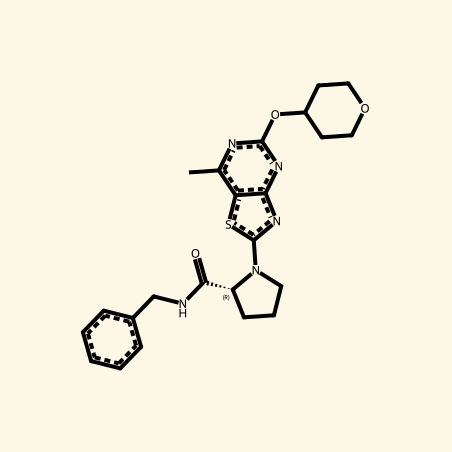 Cc1nc(OC2CCOCC2)nc2nc(N3CCC[C@@H]3C(=O)NCc3ccccc3)sc12